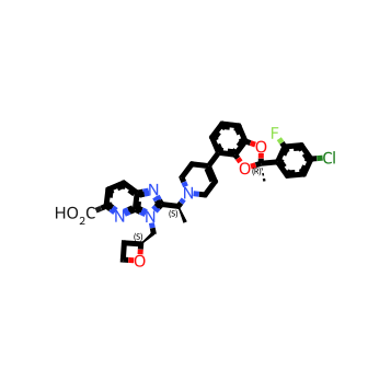 C[C@@H](c1nc2ccc(C(=O)O)nc2n1C[C@@H]1CCO1)N1CC=C(c2cccc3c2O[C@](C)(c2ccc(Cl)cc2F)O3)CC1